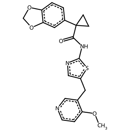 COc1ccncc1Cc1cnc(NC(=O)C2(c3ccc4c(c3)OCO4)CC2)s1